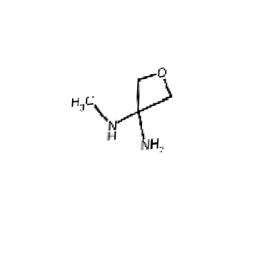 CNC1(N)COC1